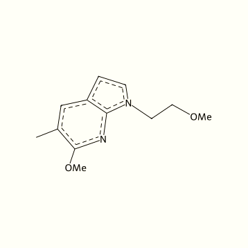 COCCn1ccc2cc(C)c(OC)nc21